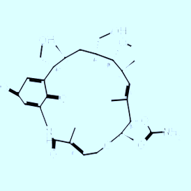 CO[C@H]1[C@@H](CO)C[C@H](C)[C@@H](CO)C2=CC(=O)C=C(NC(=O)/C(C)=C/CC[C@H](C)[C@@H](OC(N)=O)/C(C)=C/[C@@H]1C)C2=O